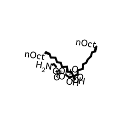 CCCCCCCC/C=C\CCCCCCCC(=O)C(O)(C(=O)CCCCCCC/C=C\CCCCCCCC)[C@@H](O)COP(=O)(O)OCCN